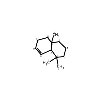 CC1(C)CCCC2(C)[CH]CC=CC12